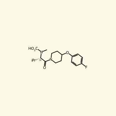 CC(C)[C@@H](C(=O)N1CCC(Oc2ccc(F)cc2)CC1)N(C)C(=O)O